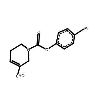 CC(C)c1ccc(OC(=O)N2CCC=C(C=O)C2)cc1